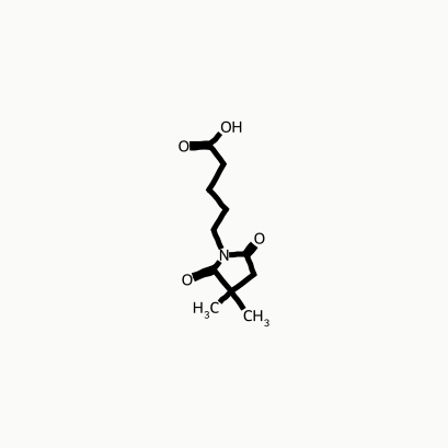 CC1(C)CC(=O)N(CCCCC(=O)O)C1=O